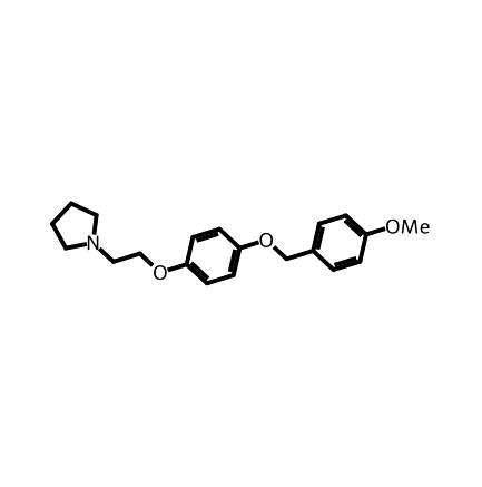 COc1ccc(COc2ccc(OCCN3CCCC3)cc2)cc1